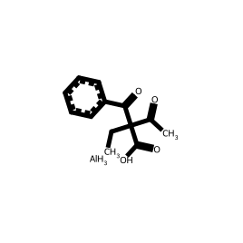 CCC(C(C)=O)(C(=O)O)C(=O)c1ccccc1.[AlH3]